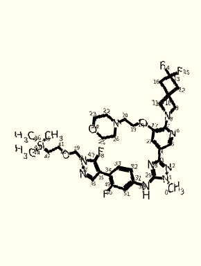 Cn1nc(-c2cnc(N3CC4(C3)CC(F)(F)C4)c(OCCN3CCOCC3)c2)nc1Nc1ccc(-c2cnn(COCC[Si](C)(C)C)c2F)c(F)c1